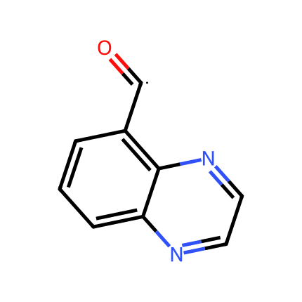 O=[C]c1cccc2nccnc12